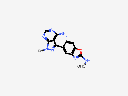 CC(C)n1nc(-c2ccc3oc(NC=O)nc3c2)c2c(N)ncnc21